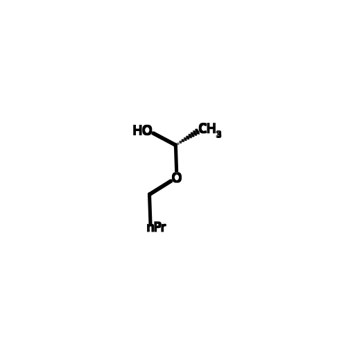 CCCCO[C@@H](C)O